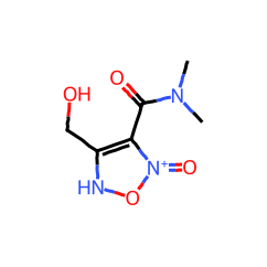 CN(C)C(=O)c1c(CO)[nH]o[n+]1=O